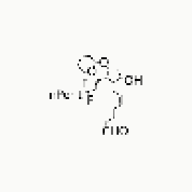 CCCCCC(F)(F)/C=C/[C@@H]1[C@@H](C/C=C\CCCC=O)[C@@H](O)C[C@H]1OC1CCCCO1